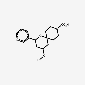 CCOC1CC(c2cccnc2)OC2(CCN(C(=O)O)CC2)C1